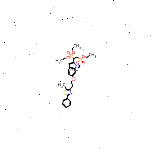 CCOP(=O)(CC(c1cc2ccc(OCCc3nc(-c4ccccc4)sc3C)cc2[nH]1)P(=O)(OCC)OCC)OCC